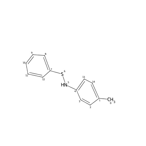 Cc1ccc(NSc2ccccc2)cc1